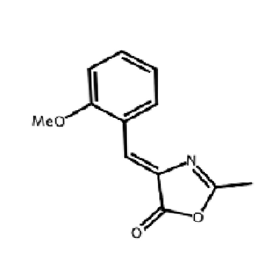 COc1ccccc1/C=C1\N=C(C)OC1=O